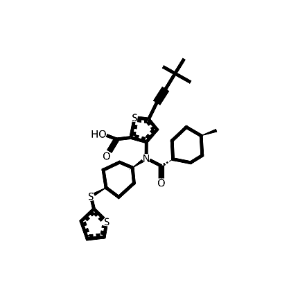 CC(C)(C)C#Cc1cc(N(C(=O)[C@H]2CC[C@H](C)CC2)[C@H]2CC[C@@H](Sc3cccs3)CC2)c(C(=O)O)s1